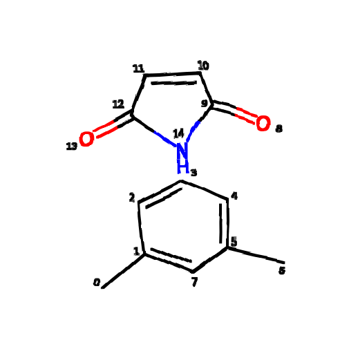 Cc1cccc(C)c1.O=C1C=CC(=O)N1